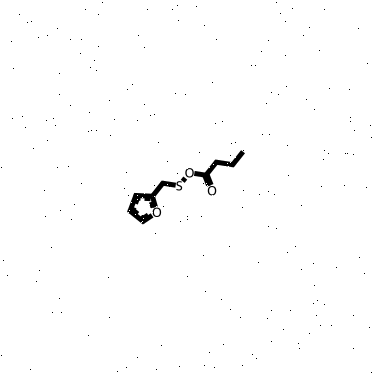 CCCC(=O)OSCc1ccco1